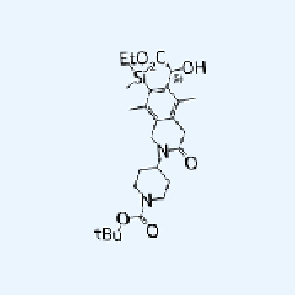 CCOC(=O)[C@@H](O)c1c(C)c2c(c(C)c1[Si](C)(C)C)CN(C1CCN(C(=O)OC(C)(C)C)CC1)C(=O)C2